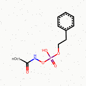 CCCCCCCCC(=O)NOP(=O)(O)OCCc1ccccc1